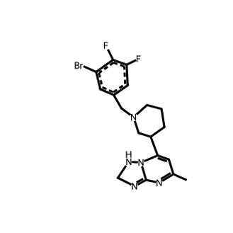 CC1=NC2=NCNN2C(C2CCCN(Cc3cc(F)c(F)c(Br)c3)C2)=C1